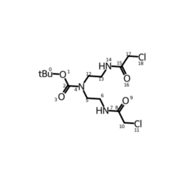 CC(C)(C)OC(=O)N(CCNC(=O)CCl)CCNC(=O)CCl